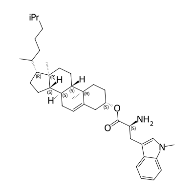 CC(C)CCCC(C)[C@H]1CC[C@H]2[C@@H]3CC=C4C[C@@H](OC(=O)[C@@H](N)Cc5cn(C)c6ccccc56)CC[C@]4(C)[C@H]3CC[C@]12C